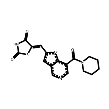 O=C1NC(=O)/C(=C/c2cc3cncc(C(=O)N4CCCCC4)c3o2)S1